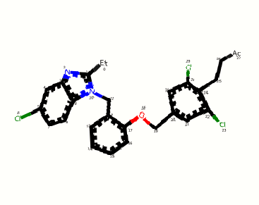 CCc1nc2cc(Cl)ccc2n1Cc1ccccc1OCc1cc(Cl)c(CCC(C)=O)c(Cl)c1